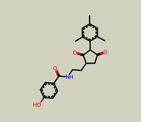 Cc1cc(C)c(C2C(=O)CC(CCNC(=O)c3ccc(O)cc3)C2=O)c(C)c1